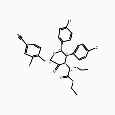 CCC[C@H](C(=O)OCC)N1C(=O)[C@H](Cc2ccc(C#N)cc2F)O[C@@H](c2ccc(Cl)cc2)[C@H]1c1ccc(Cl)cc1